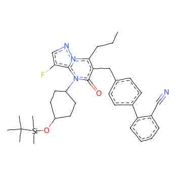 CCCc1c(Cc2ccc(-c3ccccc3C#N)cc2)c(=O)n(C2CCC(O[Si](C)(C)C(C)(C)C)CC2)c2c(F)cnn12